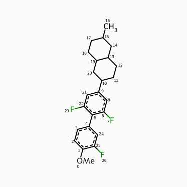 COc1ccc(-c2c(F)cc(C3CCC4CC(C)CCC4C3)cc2F)cc1F